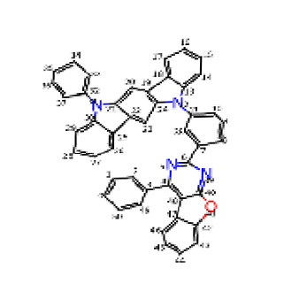 c1ccc(-c2nc(-c3cccc(-n4c5ccccc5c5cc6c(cc54)c4ccccc4n6-c4ccccc4)c3)nc3oc4ccccc4c23)cc1